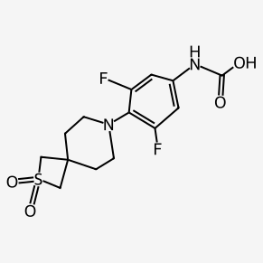 O=C(O)Nc1cc(F)c(N2CCC3(CC2)CS(=O)(=O)C3)c(F)c1